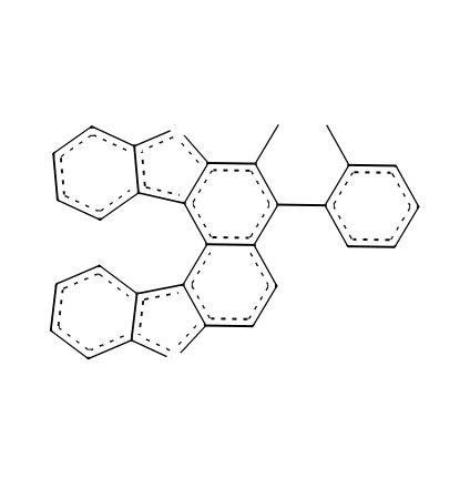 Cc1ccccc1-c1c(C)c2sc3ccccc3c2c2c1ccc1sc3ccccc3c12